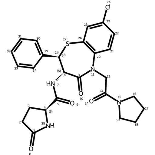 O=C1CC[C@@H](C(=O)N[C@H]2C(=O)N(CC(=O)N3CCCC3)c3ccc(Cl)cc3S[C@@H]2c2ccccc2)N1